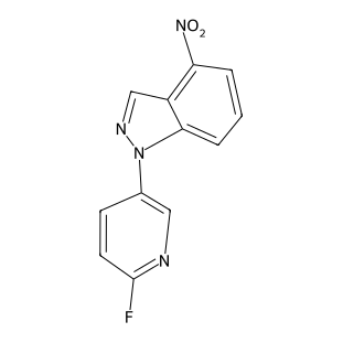 O=[N+]([O-])c1cccc2c1cnn2-c1ccc(F)nc1